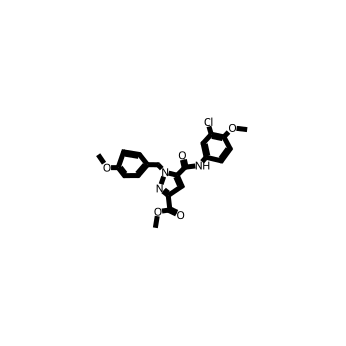 COC(=O)c1cc(C(=O)Nc2ccc(OC)c(Cl)c2)n(Cc2ccc(OC)cc2)n1